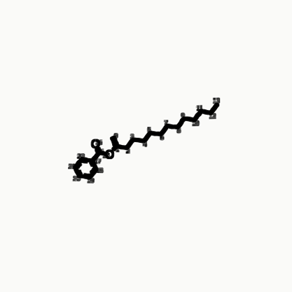 C=C(CCCCCCCCCCCC)OC(=O)c1ccccc1